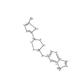 Clc1ccc(N2CCN([C]c3ccc4cc[nH]c4c3)CC2)s1